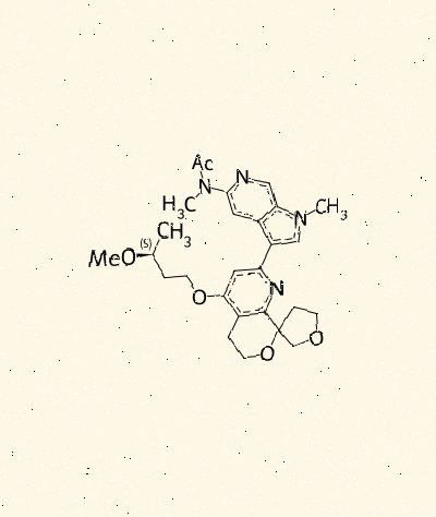 CO[C@@H](C)CCOc1cc(-c2cn(C)c3cnc(N(C)C(C)=O)cc23)nc2c1CCOC21CCOC1